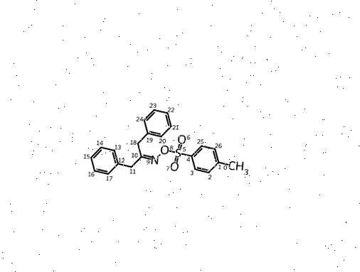 Cc1ccc(S(=O)(=O)ON=C(Cc2ccccc2)Cc2ccccc2)cc1